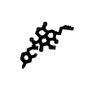 COCCN1CN2C(=O)OCc3c(C(=O)NCc4ccc(F)cc4F)c(=O)c(O)c(n32)C1=O